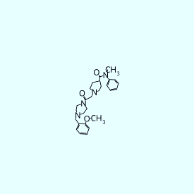 COc1ccccc1CN1CCN(C(=O)CN2CCC(C(=O)N(C)c3ccccc3)CC2)CC1